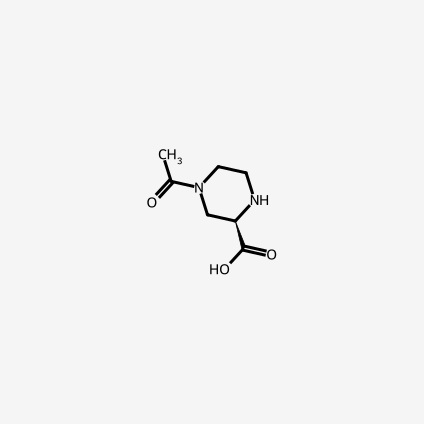 CC(=O)N1CCN[C@@H](C(=O)O)C1